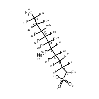 O=S(=O)([O-])C(F)C(F)(F)C(F)(F)C(F)(F)C(F)(F)C(F)(F)C(F)(F)C(F)(F)C(F)(F)C(F)(F)C(F)(F)F.[Na+]